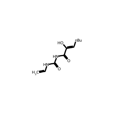 C=CNC(=O)NC(=O)C(O)=CCCCC